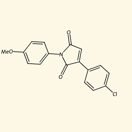 COc1ccc(N2C(=O)C=C(c3ccc(Cl)cc3)C2=O)cc1